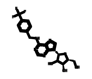 OC[C@H]1O[C@@H](n2cnc3c(NCc4ccc(C(F)(F)F)cc4)ncnc32)C(O)[C@H]1O